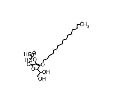 CCCCCCCCCCCCCCCCOC1=C(OP(=O)(O)O)C(=O)O[C@@H]1[C@@H](O)CO